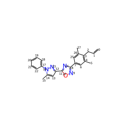 C=CCc1c(C)cc(-c2noc(-c3cc(C)n(-c4ccccc4)n3)n2)cc1C